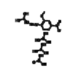 COc1cc([N+](=O)[O-])ccc1[N+]#N.OB(O)O.OB(O)O.OB(O)O.[O-]B(O)O